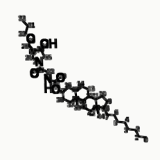 CCCCCCCC[C@@H]1CCC2C3CC=C4CC(OC(=O)NCC(=O)N5C[C@@H](COCCC)[C@@H](O)C5)CC[C@@]4(C)C3CC[C@]21C